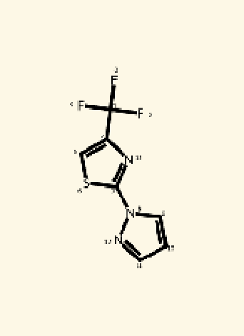 FC(F)(F)c1csc(-n2cccn2)n1